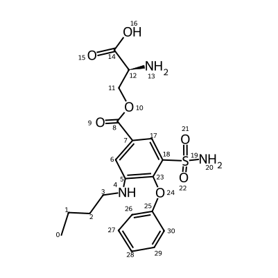 CCCCNc1cc(C(=O)OC[C@H](N)C(=O)O)cc(S(N)(=O)=O)c1Oc1ccccc1